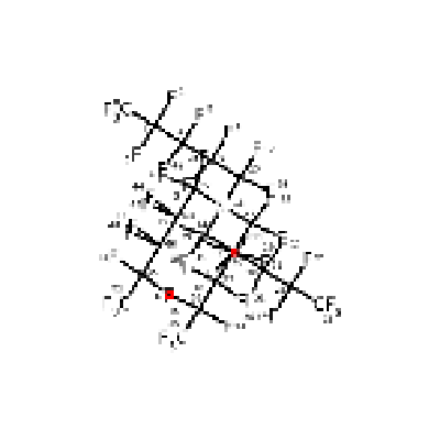 FC(F)(F)C(F)(F)C(F)(F)C(F)(F)C(F)(F)[Si](C(F)(F)C(F)(F)C(F)(F)C(F)(F)C(F)(F)F)(C(F)(F)C(F)(F)C(F)(F)C(F)(F)C(F)(F)F)C(F)(F)C(F)(F)C(F)(F)C(F)(F)C(F)(F)F